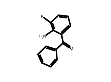 Nc1c(F)cccc1C(=O)c1ccccc1